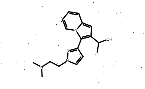 CC(O)c1cc2ccccn2c1-c1ccn(CCN(C)C)n1